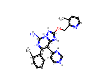 Cc1cccnc1COc1nc2c(-c3ccncn3)c(-c3ccccc3C#N)nc(N)n2n1